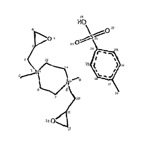 C[N+]1(CC2CO2)CC[N+](C)(CC2CO2)CC1.Cc1ccc(S(=O)(=O)O)cc1